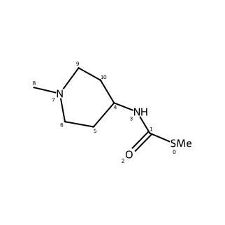 CSC(=O)NC1CCN(C)CC1